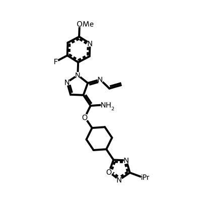 C=C/N=C1\C(=C(/N)OC2CCC(c3nc(C(C)C)no3)CC2)C=NN1c1cnc(OC)cc1F